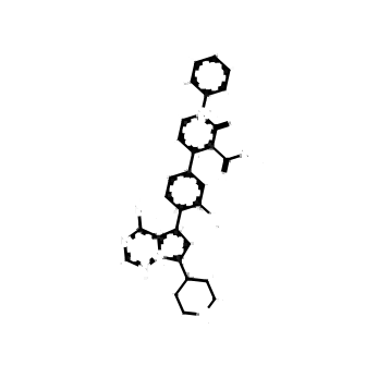 NC(=O)c1c(-c2ccc(-c3cc(C4CCOCC4)n4ncnc(N)c34)c(F)c2)ccn(-c2ccccc2)c1=O